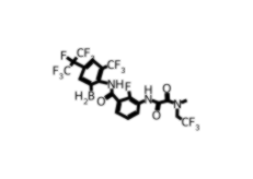 Bc1cc(C(F)(C(F)(F)F)C(F)(F)F)cc(C(F)(F)F)c1NC(=O)c1cccc(NC(=O)C(=O)N(C)CC(F)(F)F)c1F